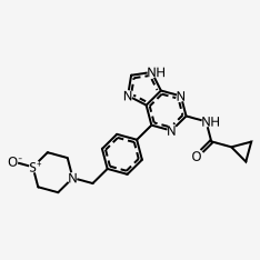 O=C(Nc1nc(-c2ccc(CN3CC[S+]([O-])CC3)cc2)c2nc[nH]c2n1)C1CC1